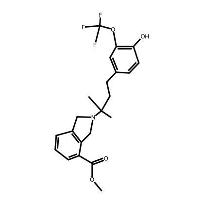 COC(=O)c1cccc2c1CN(C(C)(C)CCc1ccc(O)c(OC(F)(F)F)c1)C2